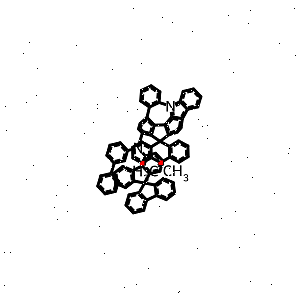 CC1(C)c2ccccc2C2(c3ccccc31)c1ccc3c4ccccc4n4c3c1-c1c(ccc(N(c3cccc(-c5ccccc5)c3)c3cccc5c3-c3ccccc3C53c5ccccc5-c5ccccc53)c12)-c1ccccc1-4